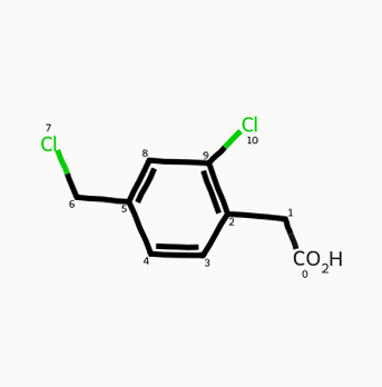 O=C(O)Cc1ccc(CCl)cc1Cl